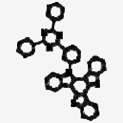 c1ccc(-c2nc(-c3ccccc3)nc(-c3cccc(-n4c5ccccc5c5c6sc7ccccc7c6c6sc7ccccc7c6c54)c3)n2)cc1